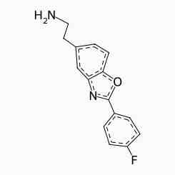 NCCc1ccc2oc(-c3ccc(F)cc3)nc2c1